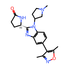 Cc1noc(C)c1-c1ccc2c(c1)nc([C@@H]1CCC(=O)N1)n2C1CCN(C)C1